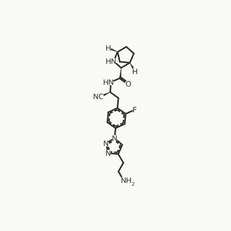 N#C[C@H](Cc1ccc(-n2cc(CCN)nn2)cc1F)NC(=O)[C@H]1N[C@@H]2CC[C@H]1C2